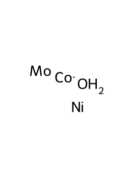 O.[Co].[Mo].[Ni]